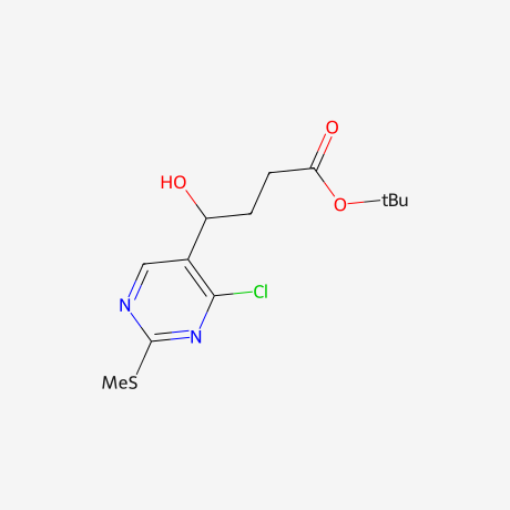 CSc1ncc(C(O)CCC(=O)OC(C)(C)C)c(Cl)n1